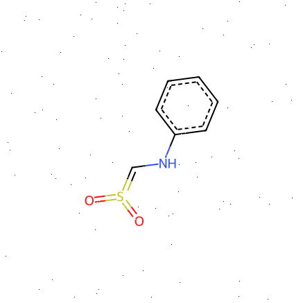 O=S(=O)=CNc1ccccc1